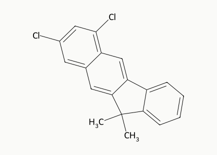 CC1(C)c2ccccc2-c2cc3c(Cl)cc(Cl)cc3cc21